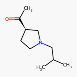 CC(=O)[C@@H]1CCN(CC(C)C)C1